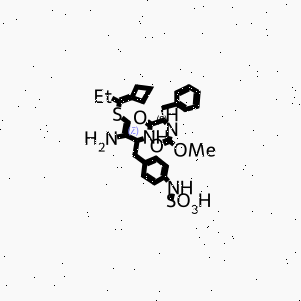 CCC(S/C=C(\N)C(Cc1ccc(NS(=O)(=O)O)cc1)NC(=O)[C@H](Cc1ccccc1)NC(=O)OC)=C1CCC1